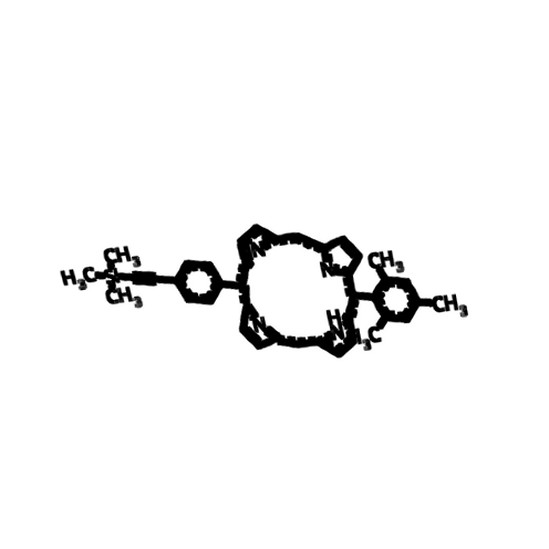 Cc1cc(C)c(-c2c3nc(cc4ccc([nH]4)c(-c4ccc(C#C[Si](C)(C)C)cc4)c4nc(cc5ccc2[nH]5)C=C4)C=C3)c(C)c1